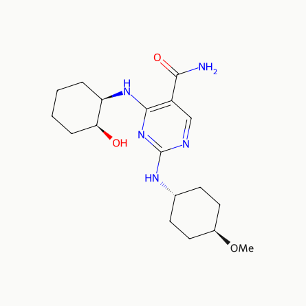 CO[C@H]1CC[C@H](Nc2ncc(C(N)=O)c(N[C@@H]3CCCC[C@@H]3O)n2)CC1